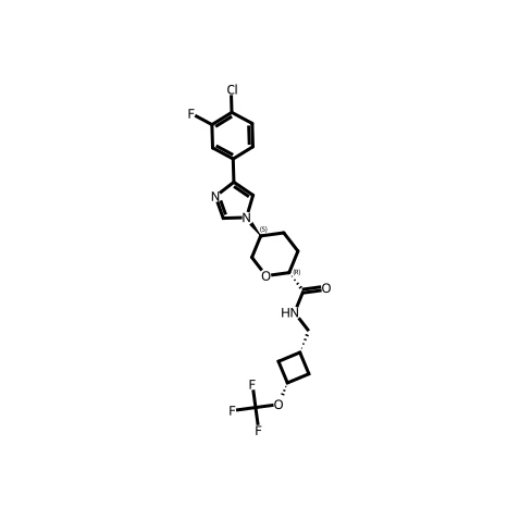 O=C(NC[C@H]1C[C@@H](OC(F)(F)F)C1)[C@H]1CC[C@H](n2cnc(-c3ccc(Cl)c(F)c3)c2)CO1